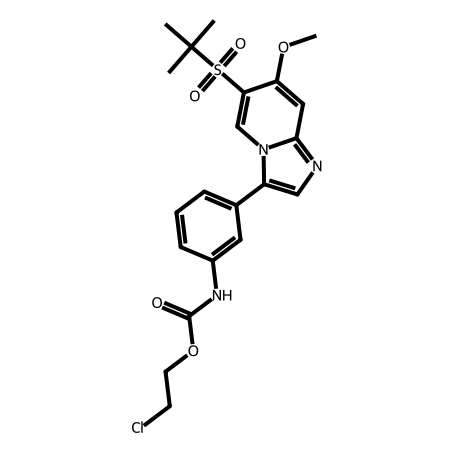 COc1cc2ncc(-c3cccc(NC(=O)OCCCl)c3)n2cc1S(=O)(=O)C(C)(C)C